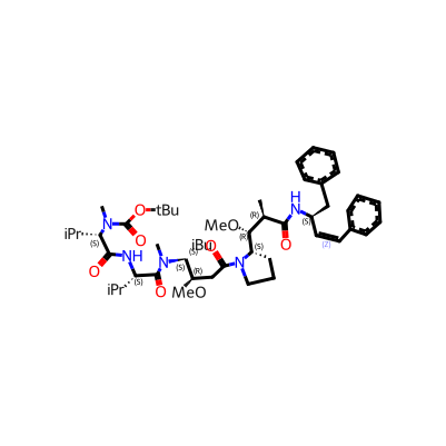 CC[C@H](C)[C@@H]([C@@H](CC(=O)N1CCC[C@H]1[C@H](OC)[C@@H](C)C(=O)N[C@H](/C=C\c1ccccc1)Cc1ccccc1)OC)N(C)C(=O)[C@@H](NC(=O)[C@H](C(C)C)N(C)C(=O)OC(C)(C)C)C(C)C